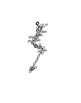 CC[C@H](C)[C@H]([C@@H](CC(=O)N1CCCC1[C@H](OC)[C@@H](C)C(=O)N[C@H](Cc1ccccc1)C(=O)O)OC)N(C)C(=O)[C@@H](NC(=O)[C@H](C(C)C)N(C)CCc1ccc(N(C)C(=O)[C@H](C)NC(=O)[C@@H](NC(=O)CCOCCOCCOCCN2C(=O)C=C(Cl)S2(=O)=O)C(C)C)cc1)C(C)C